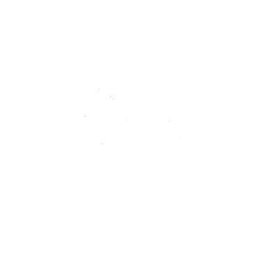 O=C(O)Oc1cc([N+](=O)[O-])nn1-c1ncccc1Cl